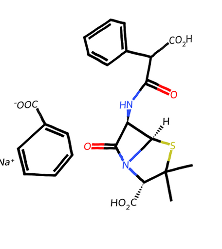 CC1(C)S[C@@H]2[C@H](NC(=O)C(C(=O)O)c3ccccc3)C(=O)N2[C@H]1C(=O)O.O=C([O-])c1ccccc1.[Na+]